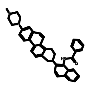 CN1CCN(c2ccc3c(ccc4c5c(ccc43)CC(c3ccc4ccccc4c3NC(=O)c3ccccc3)CC5)c2)CC1